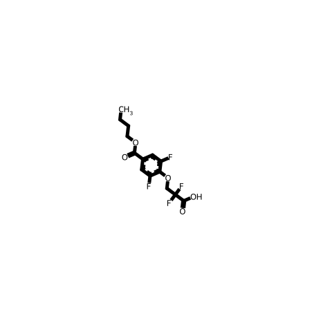 CCCCOC(=O)c1cc(F)c(OCC(F)(F)C(=O)O)c(F)c1